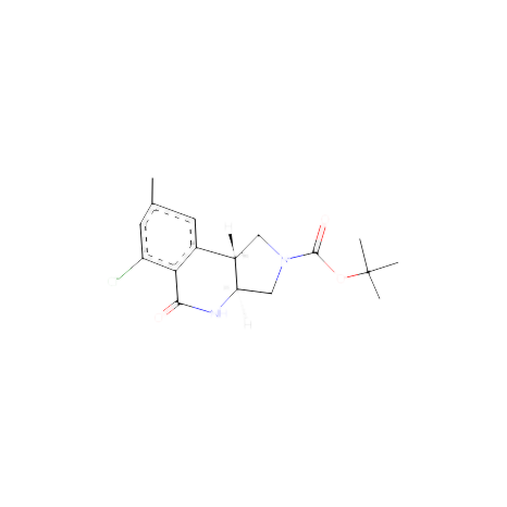 Cc1cc(Cl)c2c(c1)[C@@H]1CN(C(=O)OC(C)(C)C)C[C@H]1NC2=O